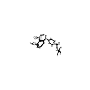 CSc1cccc(NC2CCN(C(=O)OC(C)(C)C)CC2)c1[N+](=O)[O-]